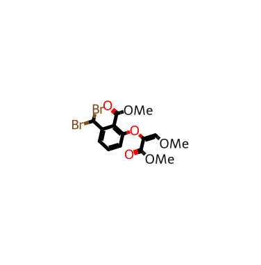 COC=C(Oc1cccc(C(Br)Br)c1C(=O)OC)C(=O)OC